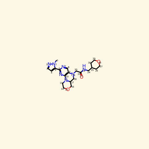 Cn1nccc1-c1ncc2c(n1)N1CCOCC1CN2CC(=O)NCC1CCOCC1